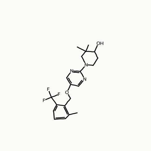 Cc1cccc(C(F)(F)F)c1COc1cnc(N2CCC(O)C(C)(C)C2)nc1